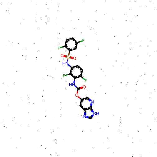 O=C(Nc1c(F)ccc(NS(=O)(=O)c2cc(F)ccc2F)c1F)Oc1cnc2[nH]cnc2c1